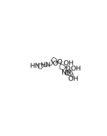 C[C@]1(O)CO[C@H](O[C@@H]2C(O)[C@H](O[C@@H]3CCC=C(CNCC4CCNCC4)O3)CC[C@H]2N)[C@H](O)C1